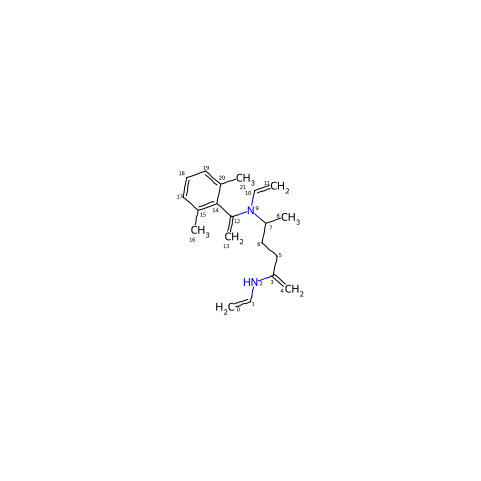 C=CNC(=C)CCC(C)N(C=C)C(=C)c1c(C)cccc1C